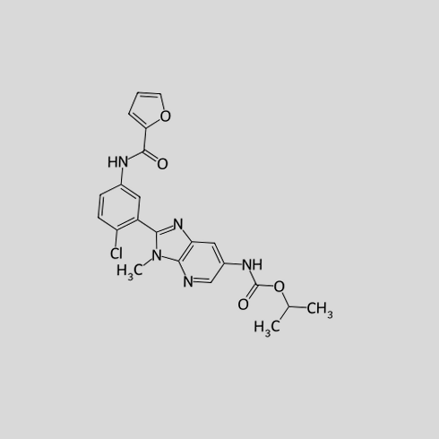 CC(C)OC(=O)Nc1cnc2c(c1)nc(-c1cc(NC(=O)c3ccco3)ccc1Cl)n2C